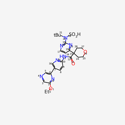 CCOc1cncc(-c2ccc(NC(=O)C3(c4ccnc(N(C(C)(C)C)S(=O)(=O)O)n4)CCOCC3)nc2)n1